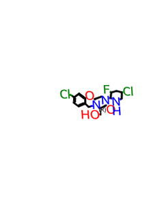 O=C1[C@@H](CO)N(Cc2ccc(Cl)cc2)C(=O)CN1C1NCC(Cl)CC1F